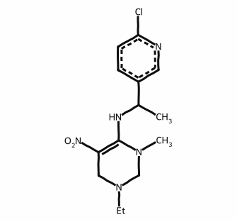 CCN1CC([N+](=O)[O-])=C(NC(C)c2ccc(Cl)nc2)N(C)C1